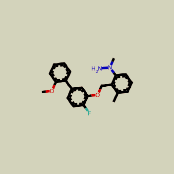 COc1ccccc1-c1ccc(F)c(OCc2c(C)cccc2N(C)N)c1